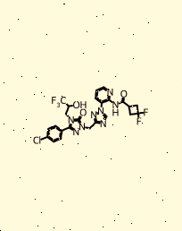 O=C(Nc1ncccc1-n1cnc(Cn2nc(-c3ccc(Cl)cc3)n(CC(O)C(F)(F)F)c2=O)n1)C1CC(F)(F)C1